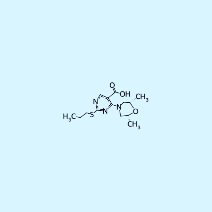 CCCSc1ncc(C(=O)O)c(N2C[C@@H](C)O[C@@H](C)C2)n1